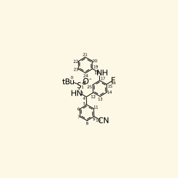 CC(C)(C)[S+]([O-])NC(c1cccc(C#N)c1)c1ccc(F)c(Nc2ccccc2)c1